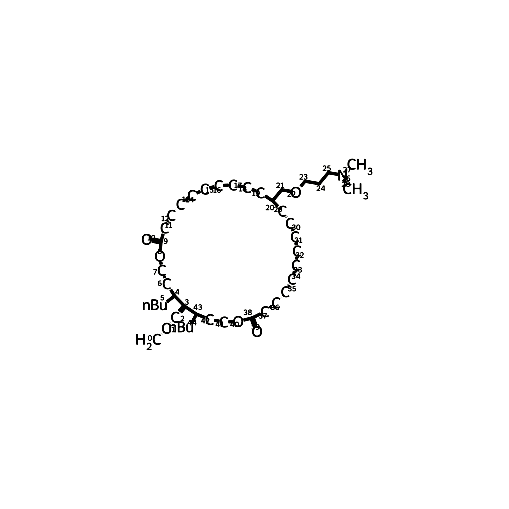 C=C=C=C1C(CCCC)CCOC(=O)CCCCCCCCCC(COCCCN(C)C)CCCCCCCCCC(=O)OCCC1CCCC